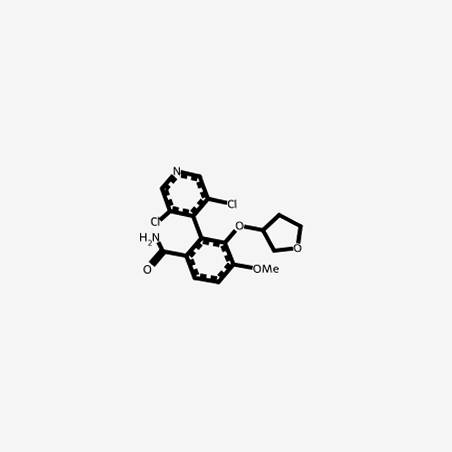 COc1ccc(C(N)=O)c(-c2c(Cl)cncc2Cl)c1OC1CCOC1